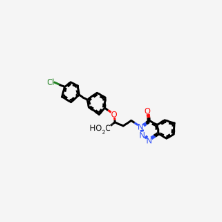 O=C(O)C(CCn1nnc2ccccc2c1=O)Oc1ccc(-c2ccc(Cl)cc2)cc1